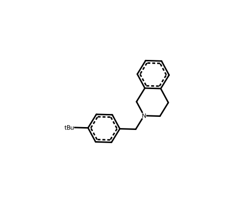 CC(C)(C)c1ccc(CN2CCc3ccccc3C2)cc1